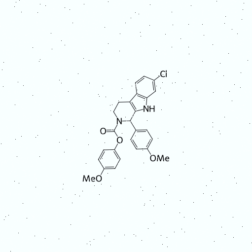 COc1ccc(OC(=O)N2CCc3c([nH]c4cc(Cl)ccc34)C2c2ccc(OC)cc2)cc1